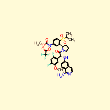 COC(=O)N(OC(=O)C(F)(F)F)c1ccc(S(=O)(=O)C(C)C)c([C@H]2CCCN2C(=O)[C@H](Nc2ccc3c(N)nccc3c2)c2cc(OC)c(F)cc2F)c1